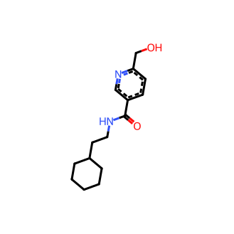 O=C(NCCC1CCCCC1)c1ccc(CO)nc1